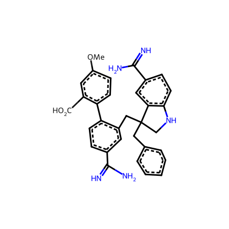 COc1ccc(-c2ccc(C(=N)N)cc2CC2(Cc3ccccc3)CNc3ccc(C(=N)N)cc32)c(C(=O)O)c1